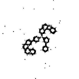 c1ccc(-c2cccc(N(c3ccc(-c4ccc5ccc6ccc7ccccc7c6c5c4)cc3)c3ccc4ccc5sc6ccccc6c5c4c3)c2)cc1